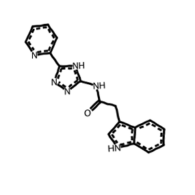 O=C(Cc1c[nH]c2ccccc12)Nc1nnc(-c2ccccn2)[nH]1